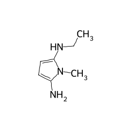 CCNc1ccc(N)n1C